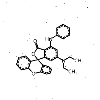 CCN(CC)c1cc(Nc2ccccc2)c2c(c1)C1(OC2=O)c2ccccc2Oc2ccccc21